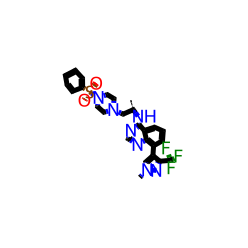 C[C@@H](CN1CCN(S(=O)(=O)c2ccccc2)CC1)Nc1ncnc2c(-c3cn(C)nc3C(F)(F)F)cccc12